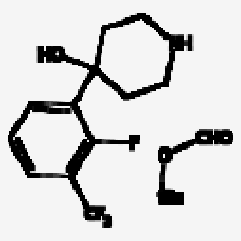 CC(C)(C)OC=O.OC1(c2cccc(C(F)(F)F)c2F)CCNCC1